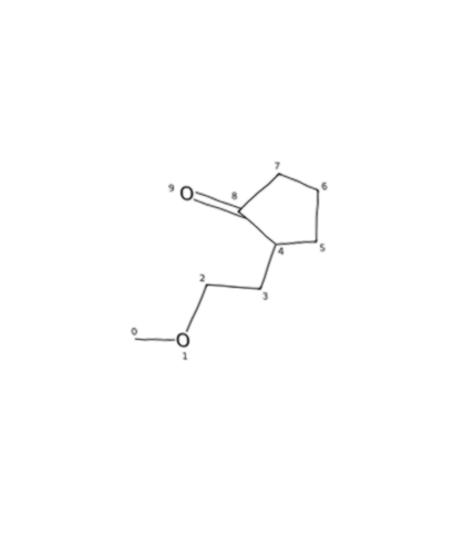 COCCC1CCCC1=O